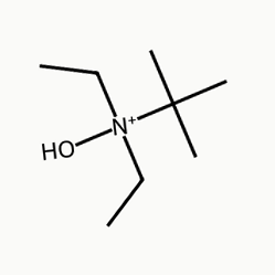 CC[N+](O)(CC)C(C)(C)C